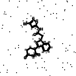 CCc1cc(NC(=O)Cn2nc(C3CCC(=O)NC3=O)c3ccccc32)on1